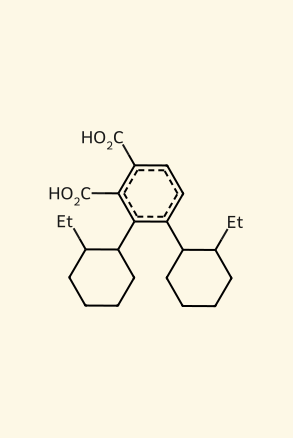 CCC1CCCCC1c1ccc(C(=O)O)c(C(=O)O)c1C1CCCCC1CC